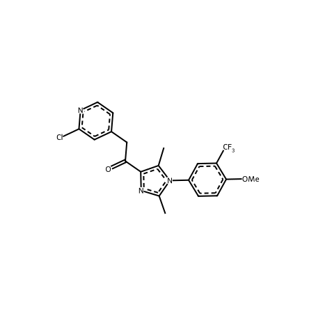 COc1ccc(-n2c(C)nc(C(=O)Cc3ccnc(Cl)c3)c2C)cc1C(F)(F)F